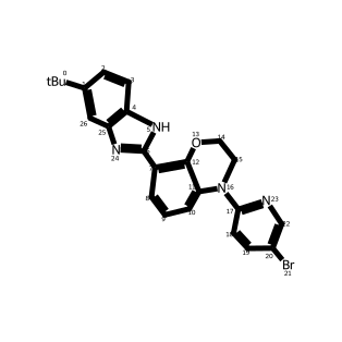 CC(C)(C)c1ccc2[nH]c(-c3cccc4c3OCCN4c3ccc(Br)cn3)nc2c1